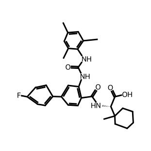 Cc1cc(C)c(NC(=O)Nc2cc(-c3ccc(F)cc3)ccc2C(=O)N[C@H](C(=O)O)C2(C)CCCCC2)c(C)c1